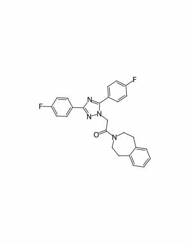 O=C(Cn1nc(-c2ccc(F)cc2)nc1-c1ccc(F)cc1)N1CCc2ccccc2CC1